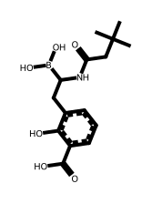 CC(C)(C)CC(=O)NC(Cc1cccc(C(=O)O)c1O)B(O)O